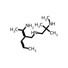 C/C=C\C(CNCC(C)(C)NC)=C(/C)N